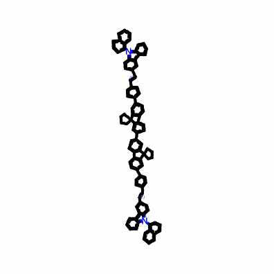 C(=C\c1ccc2c(c1)c1ccccc1n2-c1cccc2ccccc12)/c1ccc(-c2ccc3c(c2)C2(CCCC2)c2cc(-c4ccc5c(c4)C4(CCCC4)c4cc(-c6ccc(/C=C/c7ccc8c(c7)c7ccccc7n8-c7cccc8ccccc78)cc6)ccc4-5)ccc2-3)cc1